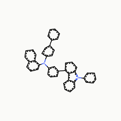 c1ccc(-c2ccc(N(c3cccc(-c4cccc5c4c4ccccc4n5-c4ccccc4)c3)c3cccc4ccccc34)cc2)cc1